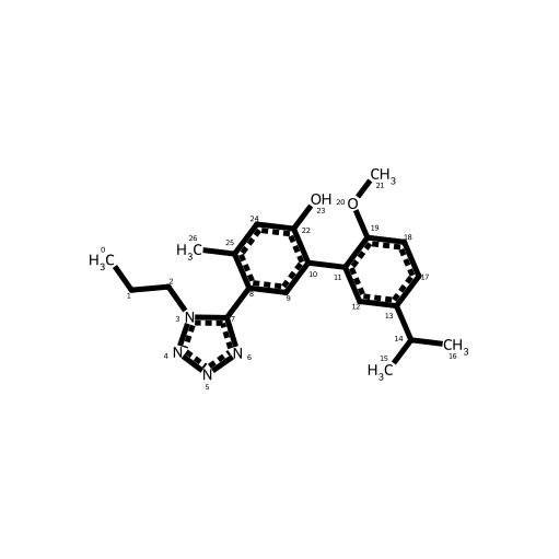 CCCn1nnnc1-c1cc(-c2cc(C(C)C)ccc2OC)c(O)cc1C